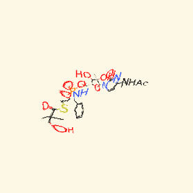 CC(=O)Nc1ccn([C@@H]2O[C@H](COP(=O)(NCc3ccccc3)OCCSC(=O)C(C)(C)CO)C(O)[C@@]2(C)O)c(=O)n1